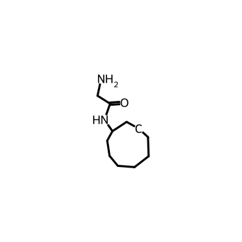 NCC(=O)NC1CCCCCCCC1